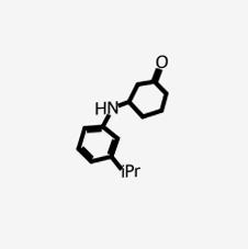 CC(C)c1cccc(NC2CCCC(=O)C2)c1